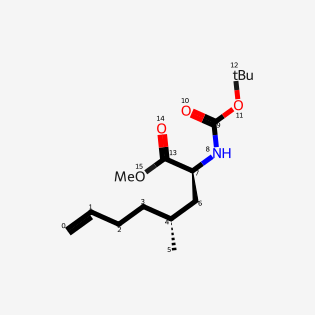 C=CCC[C@@H](C)C[C@H](NC(=O)OC(C)(C)C)C(=O)OC